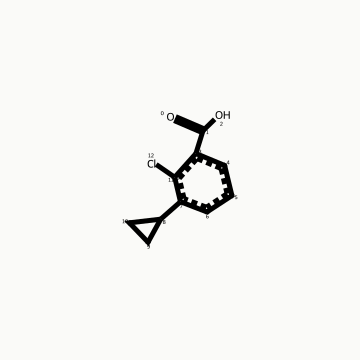 O=C(O)c1cccc(C2CC2)c1Cl